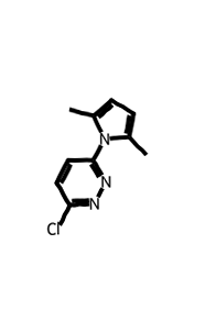 Cc1ccc(C)n1-c1ccc(Cl)nn1